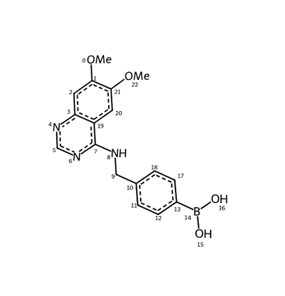 COc1cc2ncnc(NCc3ccc(B(O)O)cc3)c2cc1OC